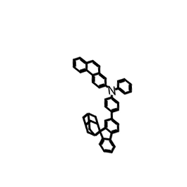 c1ccc(N(c2ccc(-c3ccc4c(c3)C3(c5ccccc5-4)C4CC5CC(C4)CC3C5)cc2)c2ccc3c(ccc4ccccc43)c2)cc1